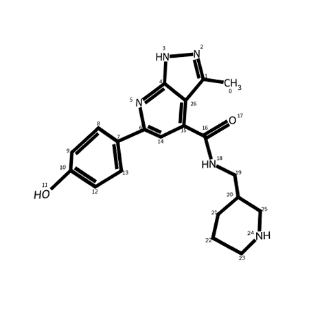 Cc1n[nH]c2nc(-c3ccc(O)cc3)cc(C(=O)NCC3CCCNC3)c12